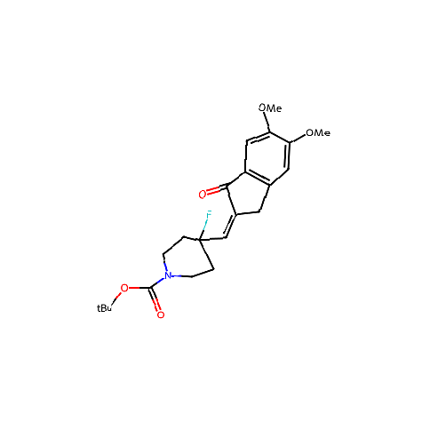 COc1cc2c(cc1OC)C(=O)/C(=C\C1(F)CCN(C(=O)OC(C)(C)C)CC1)C2